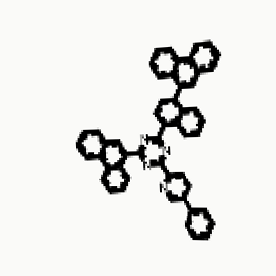 c1ccc(-c2ccc(-c3nc(-c4ccc(-c5cc6ccccc6c6ccccc56)c5ccccc45)nc(-c4cc5ccccc5c5ccccc45)n3)nc2)cc1